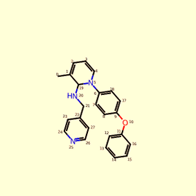 CC1=CC=CN(c2ccc(Oc3ccccc3)cc2)C1NCc1ccncc1